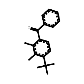 Cc1c(C(=O)c2ccccc2)ccc(C(C)(C)C)c1C